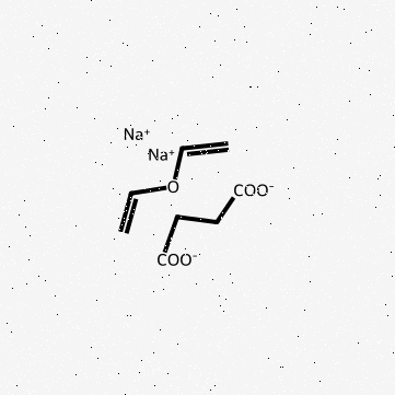 C=COC=C.O=C([O-])CCC(=O)[O-].[Na+].[Na+]